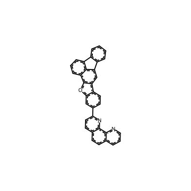 c1ccc2c(c1)-c1cccc3c1c-2cc1c2ccc(-c4ccc5ccc6cccnc6c5n4)cc2oc31